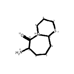 NC1CCCC2SCCCN2C1=O